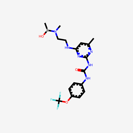 CB(O)N(C)CCNc1cc(C)nc(NC(=O)Nc2ccc(OC(F)(F)F)cc2)n1